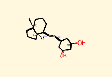 C[C@@]12CCC/C(=C\C=C3\C[C@@H](O)C[C@@H](O)C3)[C@H]1CCC2